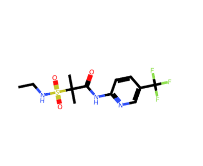 CCNS(=O)(=O)C(C)(C)C(=O)Nc1ccc(C(F)(F)F)cn1